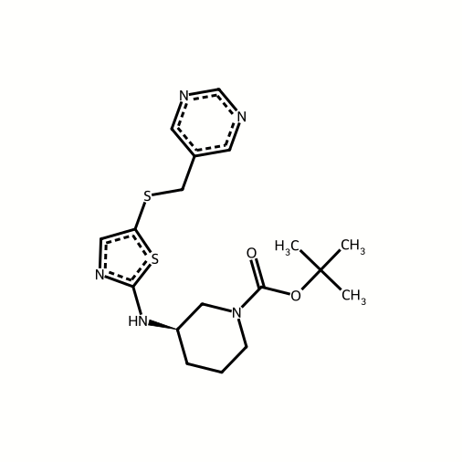 CC(C)(C)OC(=O)N1CCC[C@@H](Nc2ncc(SCc3cncnc3)s2)C1